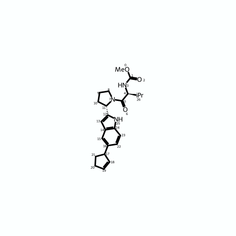 COC(=O)N[C@H](C(=O)N1CCC[C@H]1c1cc2cc(C3C=CCC3)ccc2[nH]1)C(C)C